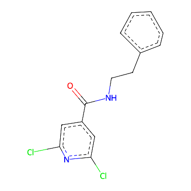 O=C(NCCc1ccccc1)c1cc(Cl)nc(Cl)c1